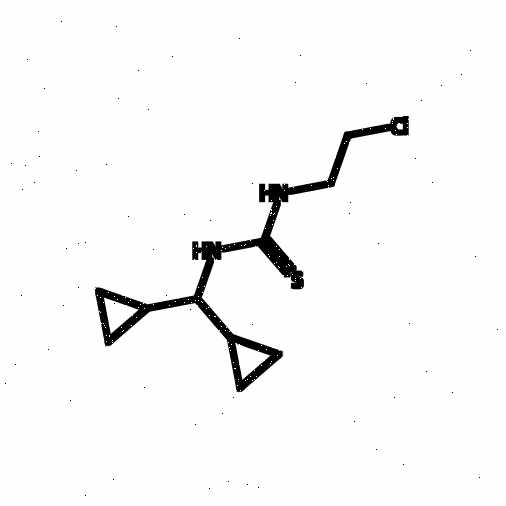 S=C(NCCCl)NC(C1CC1)C1CC1